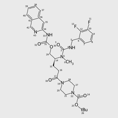 CN(C(=O)NCc1cccc(F)c1F)[C@@H](CCC(=O)N1CCN(C(=O)OC(C)(C)C)CC1)COC(=O)Nc1cc2ccccc2cn1